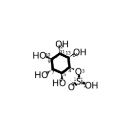 O=[Si](O)O[C@@H]1[C@@H](O)[C@H](O)[C@@H](O)[C@H](O)[C@@H]1O